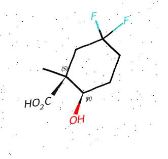 C[C@]1(C(=O)O)CC(F)(F)CC[C@H]1O